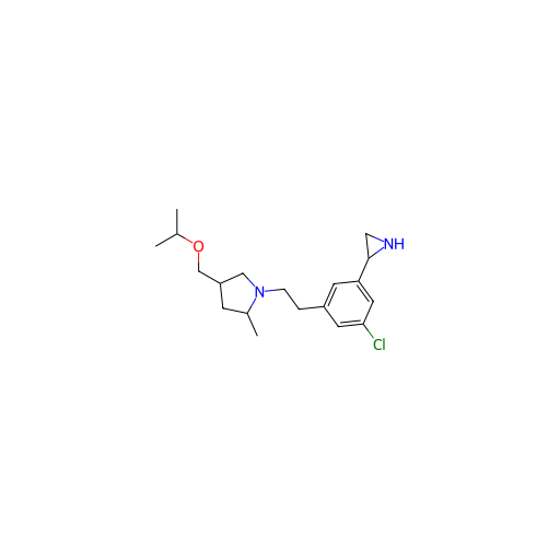 CC(C)OCC1CC(C)N(CCc2cc(Cl)cc(C3CN3)c2)C1